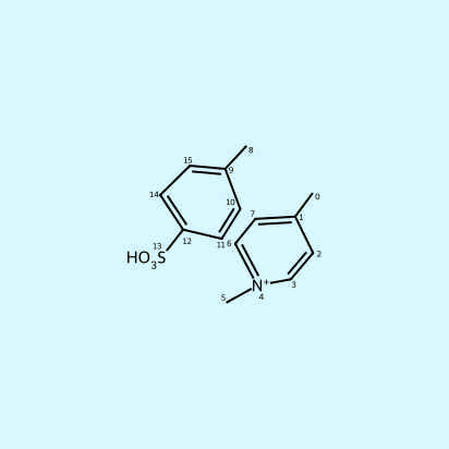 Cc1cc[n+](C)cc1.Cc1ccc(S(=O)(=O)O)cc1